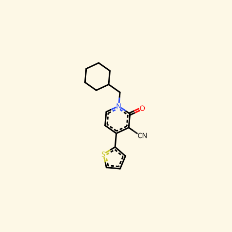 N#Cc1c(-c2cccs2)ccn(CC2CCCCC2)c1=O